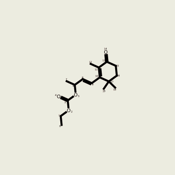 CCOC(=O)OC(C)C=CC1=C(C)C(=O)CCC1(C)C